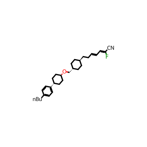 CCCCc1ccc([C@H]2CC[C@H](OC[C@H]3CC[C@H](CCC=CC=C(F)C#N)CC3)CC2)cc1